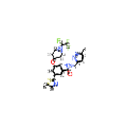 Cc1ccc(CNC(=O)c2cc(OC3CCN(C(F)C(F)F)CC3)cc(-c3ncc(C)s3)c2)nn1